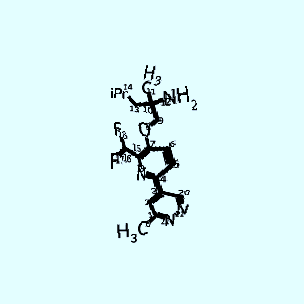 Cc1cc(-c2ccc(OCC(C)(N)CC(C)C)c(C(F)F)n2)cnn1